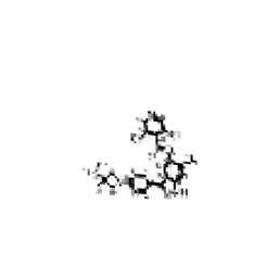 COc1cc2[nH]nc(-c3cnc(N4CC(C)(N(C)C)C4)nc3)c2cc1O[C@H](C)c1c(Cl)cncc1Cl